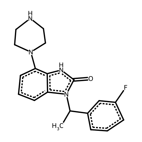 CC(c1cccc(F)c1)n1c(=O)[nH]c2c(N3CCNCC3)cccc21